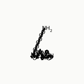 CC[C@H](C)[C@@H]([C@@H](CC(=O)N1CCC[C@H]1[C@H](OC)[C@@H](C)C(=O)N[C@@H](Cc1ccccc1)c1nccs1)OC)N(C)C(=O)[C@@H](NC(=O)[C@H](C(C)C)N(C)C(=O)CCOCCOCCOCCOCCOCCOCCN)C(C)C